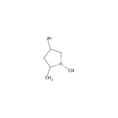 CC(C)C1CC(C)N(C#N)C1